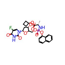 C[C@H](NP(=O)(OCC1O[C@@H](n2cc(F)c(=O)[nH]c2=O)C[C@H]1O)Oc1cccc2ccccc12)C(=O)OC1CCC1